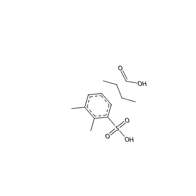 CCCC.Cc1cccc(S(=O)(=O)O)c1C.O=CO